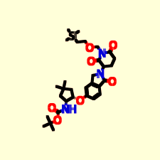 CC1(C)C[C@H](NC(=O)OC(C)(C)C)[C@@H](Oc2ccc3c(c2)CN(C2CCC(=O)N(COCC[Si](C)(C)C)C2=O)C3=O)C1